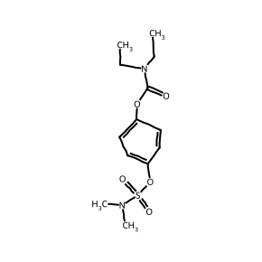 CCN(CC)C(=O)Oc1ccc(OS(=O)(=O)N(C)C)cc1